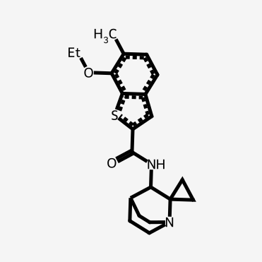 CCOc1c(C)ccc2cc(C(=O)NC3C4CCN(CC4)C34CC4)sc12